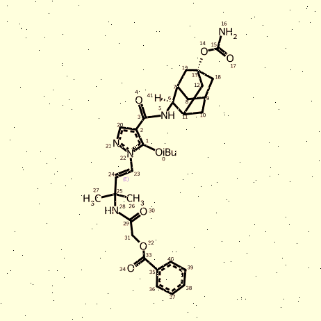 CC(C)COc1c(C(=O)N[C@H]2C3CC4CC2C[C@](OC(N)=O)(C4)C3)cnn1/C=C/C(C)(C)NC(=O)COC(=O)c1ccccc1